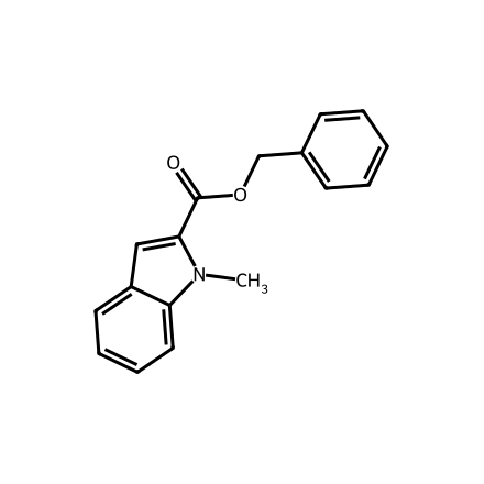 Cn1c(C(=O)OCc2ccccc2)cc2ccccc21